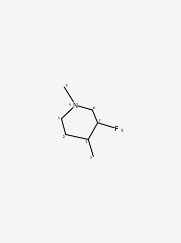 CC1CCN(C)CC1F